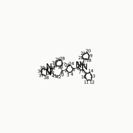 C1=C(/c2ccc(-c3cc(-c4ccccc4)nc(-c4ccccc4)n3)cc2)c2ccccc2-c2nc3ccccn3c2CC/1